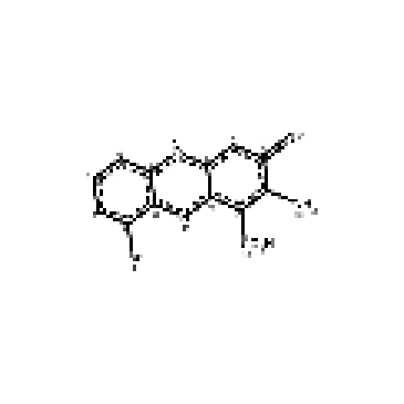 CC(=O)c1cccc2oc3cc(=O)c(N)c(C(=O)O)c-3nc12